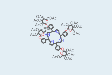 CC(=O)OC[C@H]1O[C@@H](Oc2cccc(-c3c4nc(c(-c5cccc(O[C@@H]6O[C@H](COC(C)=O)[C@H](OC(C)=O)[C@H](OC(C)=O)[C@H]6OC(C)=O)c5)c5ccc([nH]5)c(-c5cccc(O[C@@H]6O[C@H](COC(C)=O)[C@H](OC(C)=O)[C@H](OC(C)=O)[C@H]6OC(C)=O)c5)c5nc(c(-c6cccc(O[C@@H]7O[C@H](COC(C)=O)[C@H](OC(C)=O)[C@H](OC(C)=O)[C@H]7OC(C)=O)c6)c6ccc3[nH]6)C=C5)C=C4)c2)[C@H](OC(C)=O)[C@@H](OC(C)=O)[C@H]1OC(C)=O